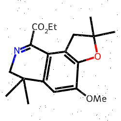 CCOC(=O)C1=NCC(C)(C)c2cc(OC)c3c(c21)CC(C)(C)O3